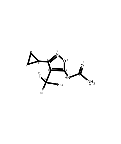 NC(=O)Nc1onc(C2CC2)c1C(F)(F)F